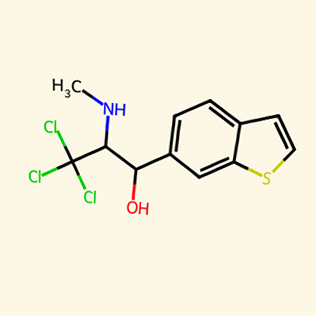 CNC(C(O)c1ccc2ccsc2c1)C(Cl)(Cl)Cl